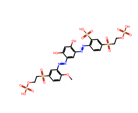 COc1ccc(S(=O)(=O)CCOS(=O)(=O)O)cc1/N=N/c1cc(/N=N/c2ccc(S(=O)(=O)CCOS(=O)(=O)O)cc2S(=O)(=O)O)c(O)cc1O